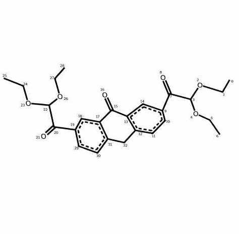 CCOC(OCC)C(=O)c1ccc2c(c1)C(=O)c1cc(C(=O)C(OCC)OCC)ccc1C2